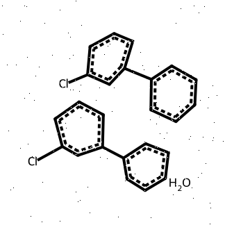 Clc1cccc(-c2ccccc2)c1.Clc1cccc(-c2ccccc2)c1.O